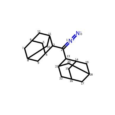 [N-]=[N+]=C(C1C2CC3CC(C2)CC1C3)C1C2CC3CC(C2)CC1C3